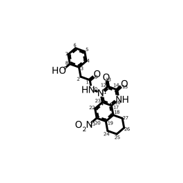 O=C(Cc1ccccc1O)Nn1c(=O)c(=O)[nH]c2c3c(c([N+](=O)[O-])cc21)CCCC3